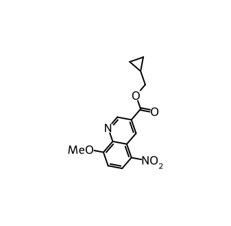 COc1ccc([N+](=O)[O-])c2cc(C(=O)OCC3CC3)cnc12